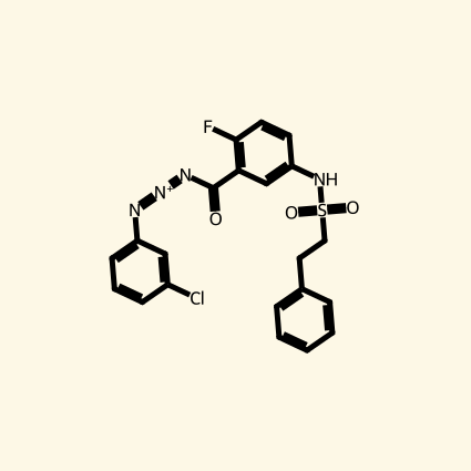 O=C(N=[N+]=Nc1cccc(Cl)c1)c1cc(NS(=O)(=O)CCc2ccccc2)ccc1F